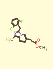 COC(=O)CCc1ccc2c(C)nc(Cc3c(Cl)cccc3Cl)n2c1